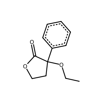 CCOC1(c2ccccc2)CCOC1=O